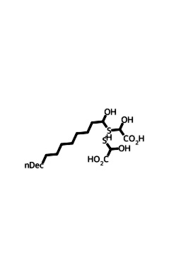 CCCCCCCCCCCCCCCCCC(O)[SH](SC(O)C(=O)O)C(O)C(=O)O